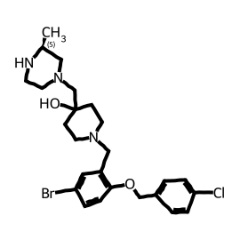 C[C@H]1CN(CC2(O)CCN(Cc3cc(Br)ccc3OCc3ccc(Cl)cc3)CC2)CCN1